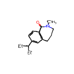 CCC(CC)c1ccc2c(c1)CCCN(C)C2=O